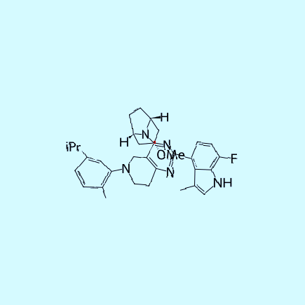 CO[C@H]1C[C@H]2CC[C@@H](C1)N2c1nc(-c2ccc(F)c3[nH]cc(C)c23)nc2c1CN(c1cc(C(C)C)ccc1C)CC2